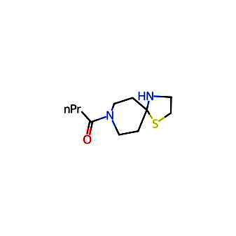 CCCC(=O)N1CCC2(CC1)NCCS2